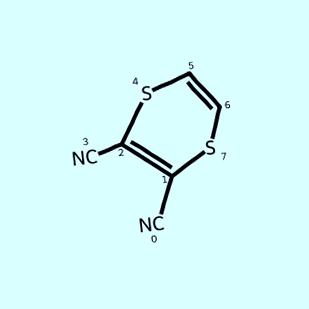 N#CC1=C(C#N)SC=CS1